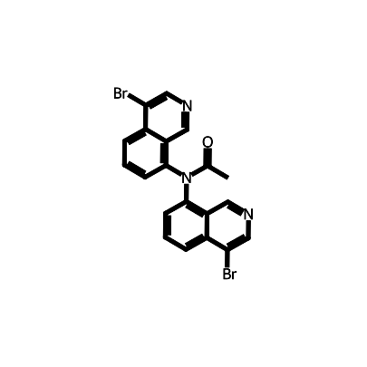 CC(=O)N(c1cccc2c(Br)cncc12)c1cccc2c(Br)cncc12